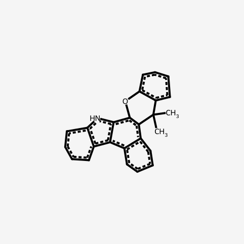 CC1(C)c2ccccc2Oc2c1c1ccccc1c1c2[nH]c2ccccc21